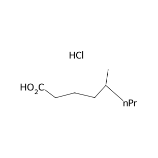 CCCC(C)CCCC(=O)O.Cl